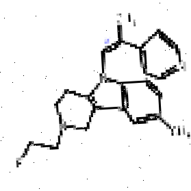 C/C(=C/n1c2c(c3cc(C)ccc31)CN(CCF)CC2)c1ccncc1